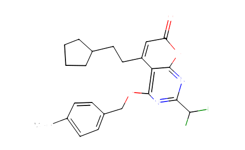 COc1ccc(COc2nc(C(F)F)nc3oc(=O)cc(CCC4CCCC4)c23)cc1